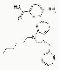 CCCCCCN1CN(Cc2ccccc2)c2ccccc21.Nc1ccc(C(=O)O)cc1